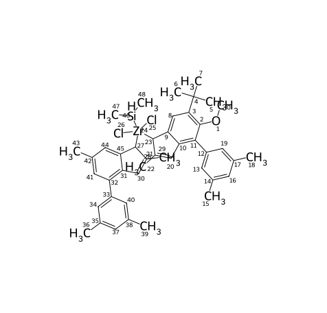 COc1c(C(C)(C)C)cc2c(c1-c1cc(C)cc(C)c1)C=C(C)[CH]2[Zr]([Cl])([Cl])([CH]1C(C)=Cc2c(-c3cc(C)cc(C)c3)cc(C)cc21)[SiH](C)C